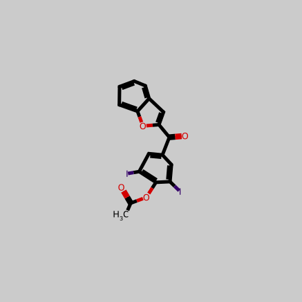 CC(=O)Oc1c(I)cc(C(=O)c2cc3ccccc3o2)cc1I